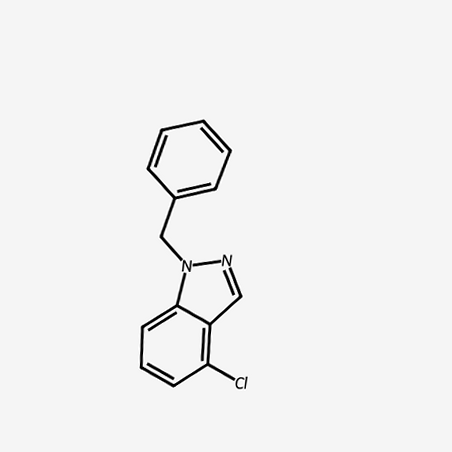 Clc1cccc2c1cnn2Cc1ccccc1